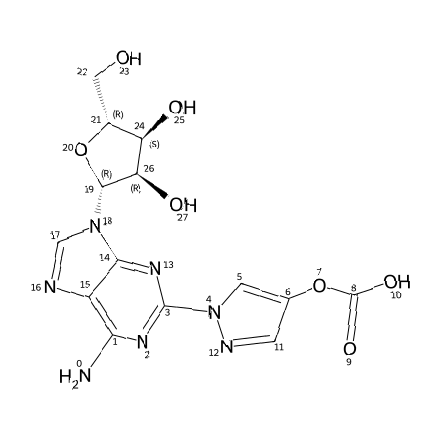 Nc1nc(-n2cc(OC(=O)O)cn2)nc2c1ncn2[C@@H]1O[C@H](CO)[C@@H](O)[C@H]1O